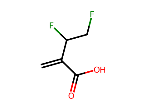 C=C(C(=O)O)C(F)CF